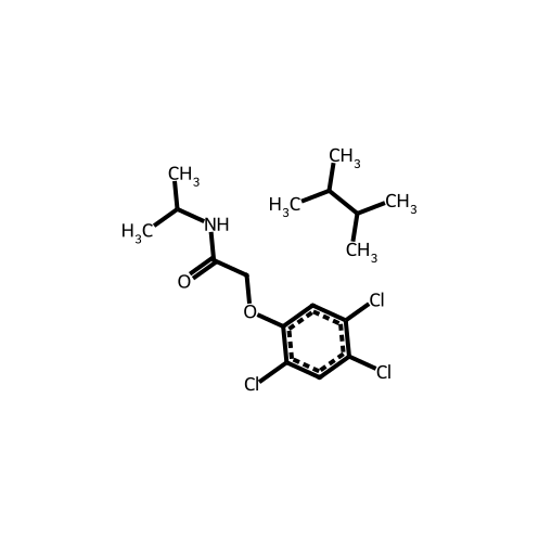 CC(C)C(C)C.CC(C)NC(=O)COc1cc(Cl)c(Cl)cc1Cl